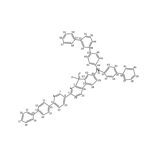 CC1(C)c2cc(-c3ccc(-c4ccc(-c5ccccc5)cc4)cc3)ccc2-c2ccc(N(c3ccc(-c4ccccc4)cc3)c3ccc(-c4cccc(-c5ccccc5)c4)cc3)cc21